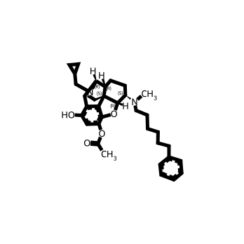 CC(=O)Oc1cc(O)c2c3c1O[C@H]1[C@@H](N(C)CCCCCCc4ccccc4)CC[C@H]4[C@@H](C2)N(CC2CC2)CC[C@@]341